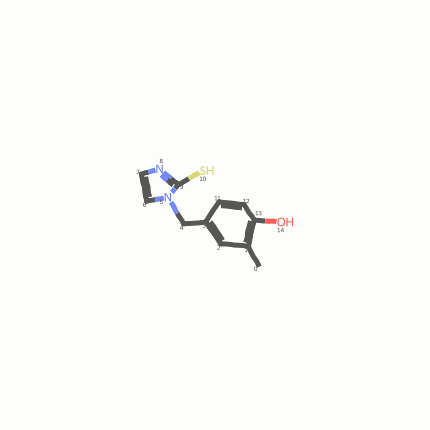 Cc1cc(Cn2ccnc2S)ccc1O